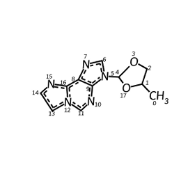 CC1COC(n2cnc3c2ncn2ccnc32)O1